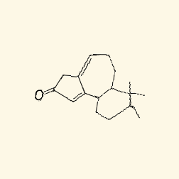 CC1CCC2C3=CC(=O)CC3=CCCC2C1(C)C